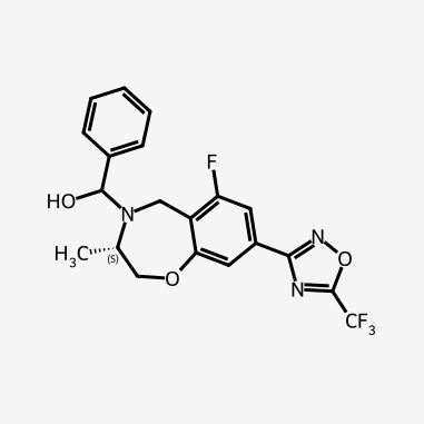 C[C@H]1COc2cc(-c3noc(C(F)(F)F)n3)cc(F)c2CN1C(O)c1ccccc1